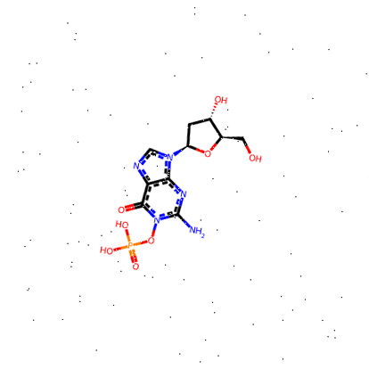 Nc1nc2c(ncn2[C@H]2C[C@H](O)[C@@H](CO)O2)c(=O)n1OP(=O)(O)O